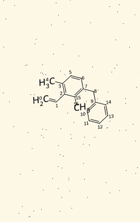 C=Cc1c(C)ccc(Cc2ccccc2)c1C